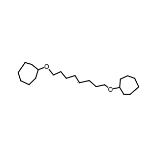 [CH](CCCCOC1CCCCCC1)CCCOC1CCCCCC1